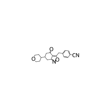 N#Cc1ccc(Cc2onc3c2C(=O)CC(C2CCOCC2)C3)cc1